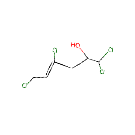 OC(CC(Cl)=CCCl)C(Cl)Cl